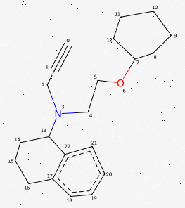 C#CCN(CCOC1CCCCC1)C1CCCc2ccccc21